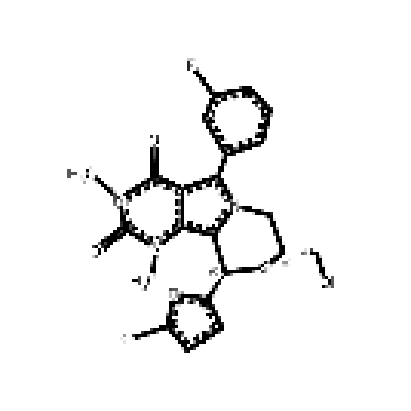 Cn1c(=O)c2c(-c3cccc(F)c3)n3c(c2n(C)c1=O)[C@H](c1ccc(Cl)o1)S[C@@H](CO)C3